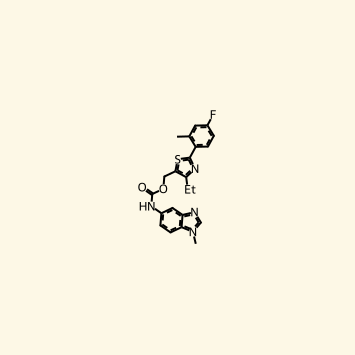 CCc1nc(-c2ccc(F)cc2C)sc1COC(=O)Nc1ccc2c(c1)ncn2C